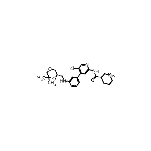 CC1(C)COC[C@@H](CNc2cccc(-c3cc(NC(=O)[C@@H]4CCCNC4)ncc3Cl)c2)O1